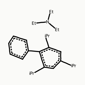 CC(C)c1cc(C(C)C)c(-c2ccccc2)c(C(C)C)c1.CCN(CC)CC